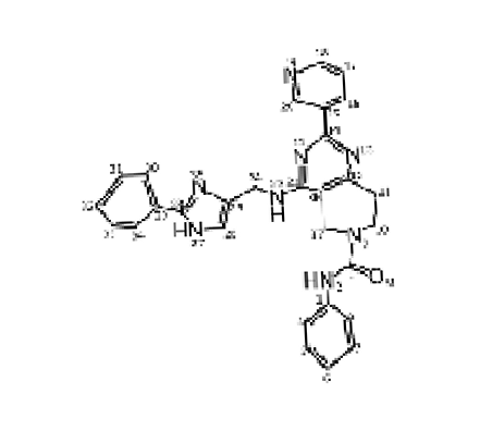 O=C(Nc1ccccc1)N1CCc2nc(-c3cccnc3)nc(NCc3c[nH]c(-c4ccccc4)n3)c2C1